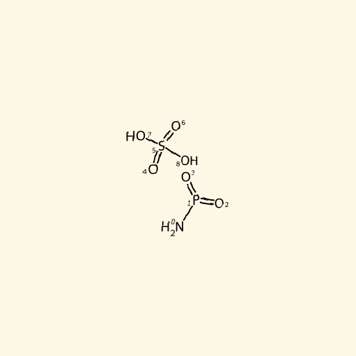 NP(=O)=O.O=S(=O)(O)O